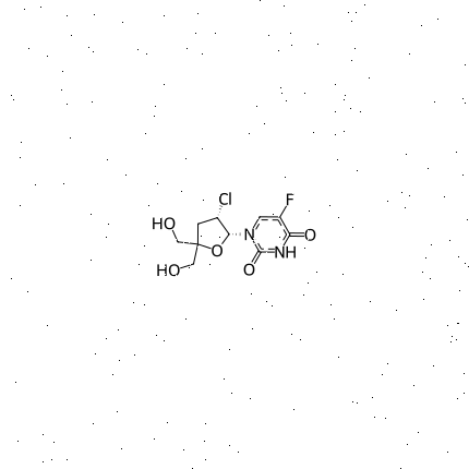 O=c1[nH]c(=O)n([C@@H]2OC(CO)(CO)C[C@@H]2Cl)cc1F